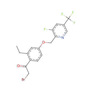 CCc1cc(OCc2ncc(C(F)(F)F)cc2F)ccc1C(=O)CBr